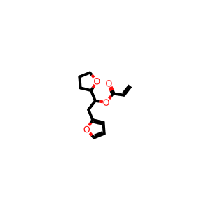 C=CC(=O)OC(Cc1ccco1)C1CCCO1